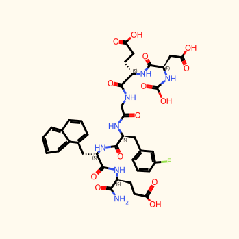 NC(=O)[C@H](CCC(=O)O)NC(=O)[C@H](Cc1cccc2ccccc12)NC(=O)[C@H](Cc1cccc(F)c1)NC(=O)CNC(=O)[C@H](CCC(=O)O)NC(=O)[C@@H](CC(=O)O)NC(=O)O